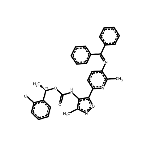 Cc1nc(-c2onc(C)c2NC(=O)O[C@H](C)c2ccccc2Cl)ccc1N=C(c1ccccc1)c1ccccc1